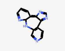 C1=CC2=C3N=CN=C3c3ccncc3NC2N=C1